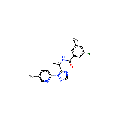 C[C@@H](NC(=O)c1cc(Cl)cc(C(F)(F)F)c1)c1ncnn1-c1ccc(C#N)cn1